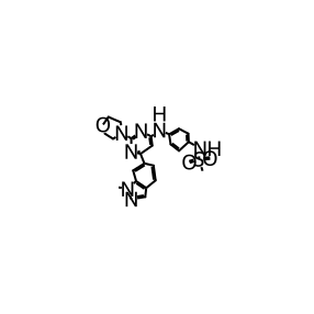 Cn1ncc2ccc(-c3cc(Nc4ccc(NS(C)(=O)=O)cc4)nc(N4CCOCC4)n3)cc21